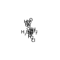 Bc1c(C(B)(B)NC(=O)C(F)(F)c2ccc(Cl)cc2)ccc2c1CN(C1CCC(=O)NC1=O)C2=O